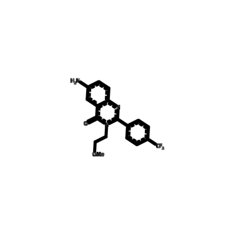 COCCn1c(-c2ccc(C(F)(F)F)cc2)nc2ccc(N)cc2c1=O